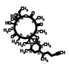 C#CCCN(C)[C@H]1C[C@@H](C)O[C@@H](O[C@@H]2[C@@H](C)C(=O)[C@@H](C)C(=O)O[C@H](CC)[C@@](C)(O)[C@H](O)[C@@H](C)C(=O)[C@H](C)C[C@@]2(C)OC)[C@@H]1C